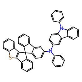 c1ccc(N(c2ccc3c(c2)-c2ccccc2C32c3ccccc3-c3sc4ccccc4c32)c2ccc3c(c2)c2ccccc2n3-c2ccccc2)cc1